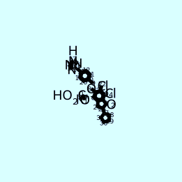 O=C([O-])O.O=C1c2c(cc(OCc3ccc(-c4nn[nH]n4)cc3)c(Cl)c2Cl)CC1C1CCCC1.[K+]